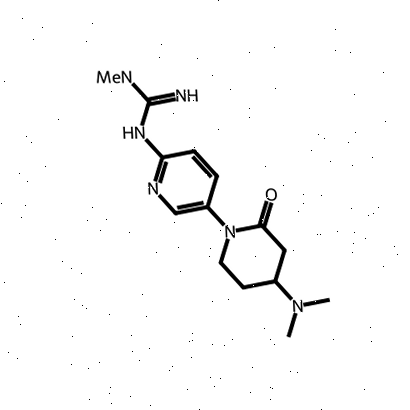 CNC(=N)Nc1ccc(N2CCC(N(C)C)CC2=O)cn1